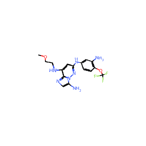 COCCNc1cc(Nc2ccc(OC(F)(F)F)c(N)c2)nn2c(N)cnc12